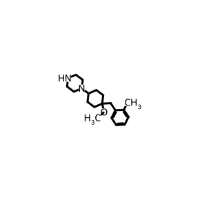 COC1(Cc2ccccc2C)CCC(N2CCNCC2)CC1